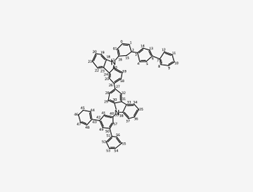 C1=CC(c2ccc(-c3ccccc3)cc2)CC(n2c3ccccc3c3cc(-c4ccc5c(c4)c4ccccc4n5-c4cc(C5=CCCC=C5)cc(-c5ccccc5)c4)ccc32)=C1